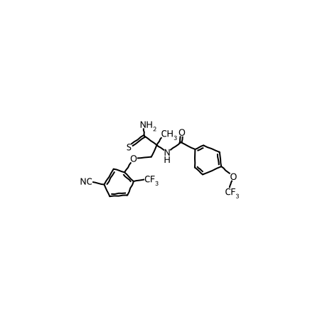 CC(COc1cc(C#N)ccc1C(F)(F)F)(NC(=O)c1ccc(OC(F)(F)F)cc1)C(N)=S